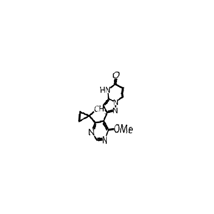 COc1ncnc(C2(C)CC2)c1-c1cc2n(n1)CCC(=O)N2